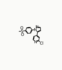 CS(=O)(=O)c1ccc(-n2nccc2-c2ccnc(Cl)c2)cc1